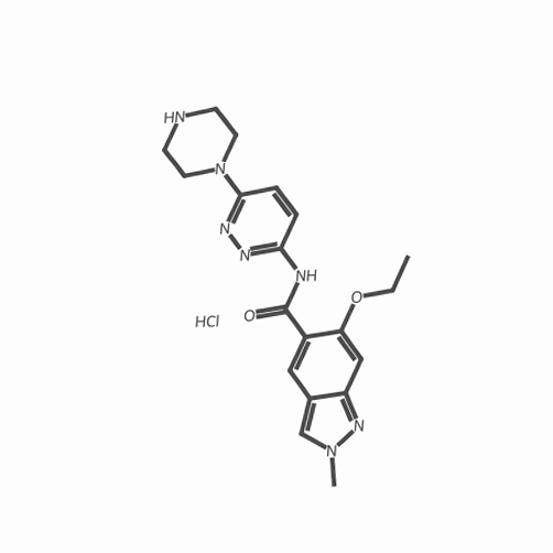 CCOc1cc2nn(C)cc2cc1C(=O)Nc1ccc(N2CCNCC2)nn1.Cl